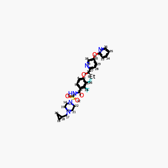 CC[C@@H](Oc1ccc(C(=O)NS(=O)(=O)N2CCN(CC3CC3)CC2)c(F)c1F)c1ccc(Oc2ccccn2)cn1